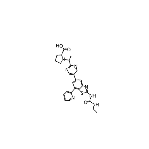 CCNC(=O)Nc1nc2cc(-c3cnc([C@H](C)N4CCC[C@H]4C(=O)O)nc3)cc(-c3ccccn3)c2s1